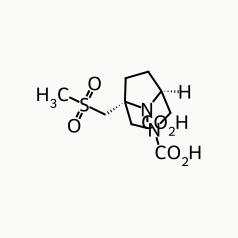 CS(=O)(=O)C[C@@]12CC[C@@H](CN(C(=O)O)C1)N2C(=O)O